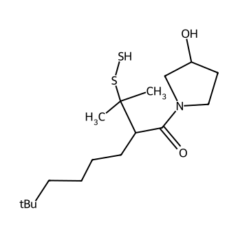 CC(C)(C)CCCCC(C(=O)N1CCC(O)C1)C(C)(C)SS